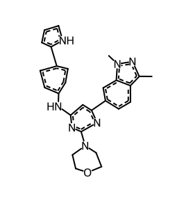 Cc1nn(C)c2cc(-c3cc(Nc4ccc(-c5ccc[nH]5)cc4)nc(N4CCOCC4)n3)ccc12